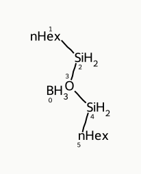 B.CCCCCC[SiH2]O[SiH2]CCCCCC